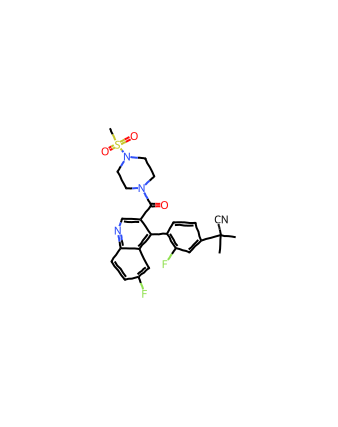 CC(C)(C#N)c1ccc(-c2c(C(=O)N3CCN(S(C)(=O)=O)CC3)cnc3ccc(F)cc23)c(F)c1